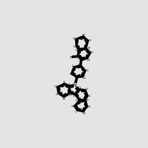 Cc1c(-c2ccc(-n3c4ccccc4c4c5ccccc5ccc43)cc2)ccc2ccccc12